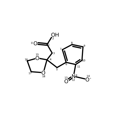 O=C(O)CC1(Cc2ccccc2[N+](=O)[O-])OCCO1